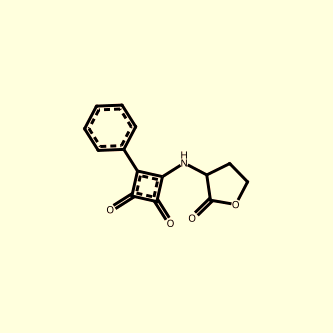 O=C1OCCC1Nc1c(-c2ccccc2)c(=O)c1=O